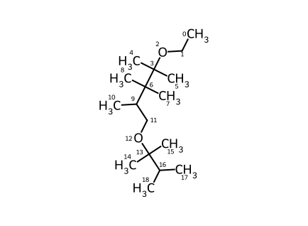 CCOC(C)(C)C(C)(C)C(C)COC(C)(C)C(C)C